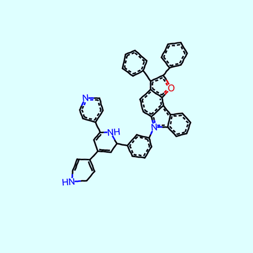 C1=CC(C2=CC(c3cccc(-n4c5ccccc5c5c6oc(-c7ccccc7)c(-c7ccccc7)c6ccc54)c3)NC(c3ccncc3)=C2)=CCN1